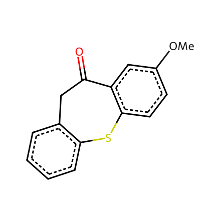 COc1ccc2c(c1)C(=O)Cc1ccccc1S2